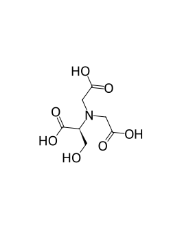 O=C(O)CN(CC(=O)O)[C@@H](CO)C(=O)O